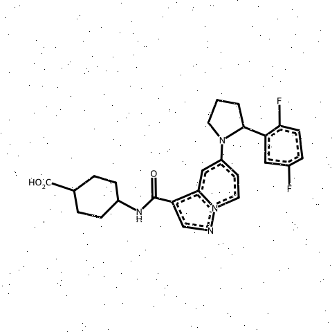 O=C(NC1CCC(C(=O)O)CC1)c1cnn2ccc(N3CCCC3c3cc(F)ccc3F)cc12